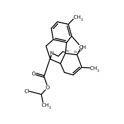 CC1=CCC2C3Cc4ccc(C)c5c4[C@@]2(CCN3C(=O)OC(C)Cl)[C@H]1O5